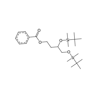 CC(C)(C)[Si](C)(C)OCC(CCOC(=O)c1ccccc1)O[Si](C)(C)C(C)(C)C